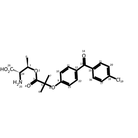 C[C@@H](OC(=O)C(C)(C)Oc1ccc(C(=O)c2ccc(Cl)cc2)cc1)[C@H](N)C(=O)O